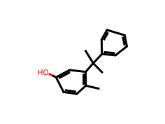 Cc1ccc(O)cc1C(C)(C)c1ccccc1